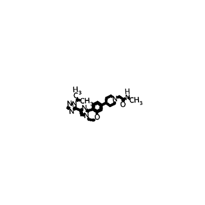 CNC(=O)CN1CCC(c2ccc3c(c2)OCCn2cc(-c4ncnn4C(C)C)nc2-3)CC1